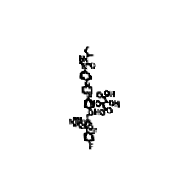 CCC(C)n1ncn(-c2ccc(N3CCN(c4ccc(OC[C@H]5CO[C@](Cn6cncn6)(c6ccc(F)cc6F)O5)cc4)CC3)cc2)c1=O.O=C(O)C(O)C(O)C(=O)O